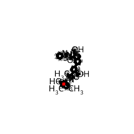 C/C=c1/ccc(-c2ccc(-c3cnn(CC45CC6(C)CC(C)(CC(O)(C6)C4)C5)c3C)c(C(=O)O)n2)c/c1=C(/C=N/O)C(=O)Nc1nc2ccccc2s1